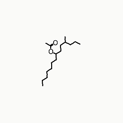 CCCCCCCC(CCC(C)CCC)OC(C)=O